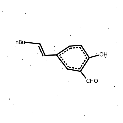 CCCCC=Cc1ccc(O)c(C=O)c1